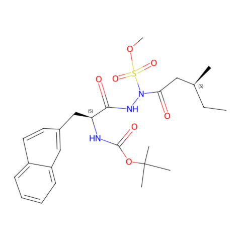 CC[C@H](C)CC(=O)N(NC(=O)[C@H](Cc1ccc2ccccc2c1)NC(=O)OC(C)(C)C)S(=O)(=O)OC